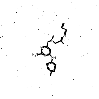 C=C/C=N\C=C(/C)CN(C)Cc1cc(Nc2ccc(C)cc2)nc(N)n1